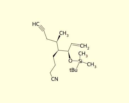 C#CC[C@@H](C)[C@H](CCCC#N)[C@@H](C=C)O[Si](C)(C)C(C)(C)C